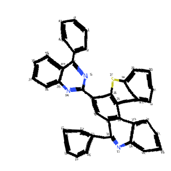 c1ccc(-c2nc(-c3cc4c(-c5ccccc5)nc5ccccc5c4c4c3sc3ccccc34)nc3ccccc23)cc1